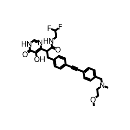 COCCN(C)Cc1ccc(C#Cc2ccc(CC(C(=O)NCC(F)F)c3nc[nH]c(=O)c3O)cc2)cc1